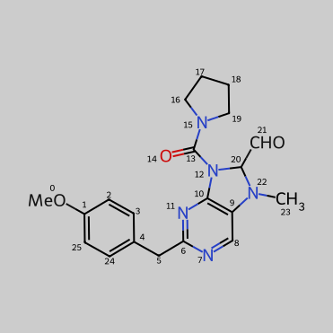 COc1ccc(Cc2ncc3c(n2)N(C(=O)N2CCCC2)C(C=O)N3C)cc1